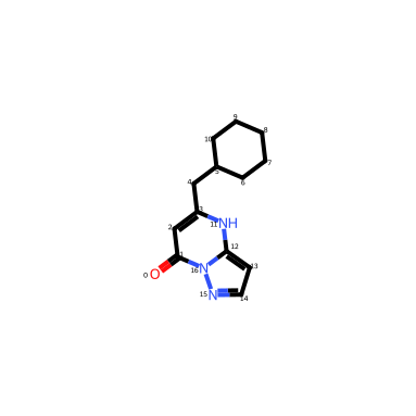 O=c1cc(CC2CCCCC2)[nH]c2ccnn12